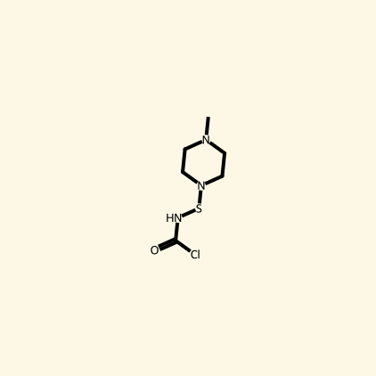 CN1CCN(SNC(=O)Cl)CC1